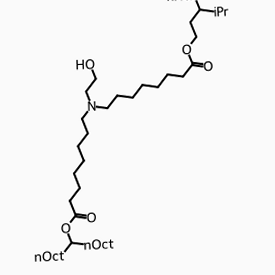 CCCCCCCCC(CCCCCCCC)OC(=O)CCCCCCCN(CCO)CCCCCCCC(=O)OCCC(CCCCCC)C(C)C